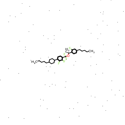 CCCCCc1ccc(C(C)OC(F)(F)c2ccc(C3CCC(CCCCC)CC3)c(F)c2F)c(F)c1